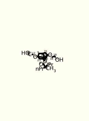 CCCC(C)(C(=O)OC12CC3CC(OCCO)(CC(OCCO)(C3)C1)C2)C(C)C